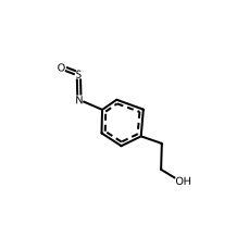 O=S=Nc1ccc(CCO)cc1